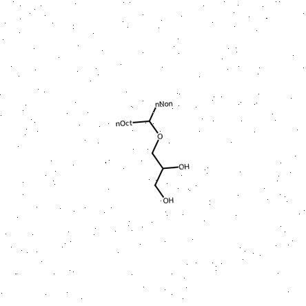 CCCCCCCCCC(CCCCCCCC)OCC(O)CO